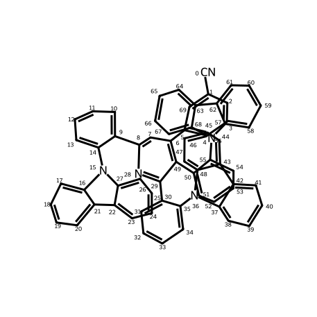 N#Cc1cccc(-c2cc(-c3ccccc3-n3c4ccccc4c4ccccc43)nc(-c3ccccc3-n3c4ccccc4c4ccccc43)c2-c2ccccc2-n2c3ccccc3c3ccccc32)c1